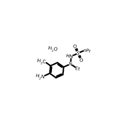 CCCS(=O)(=O)NN(CC)c1ccc(N)c(C)c1.O